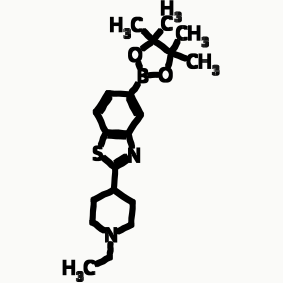 CCN1CCC(c2nc3cc(B4OC(C)(C)C(C)(C)O4)ccc3s2)CC1